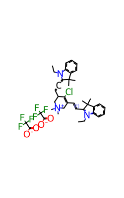 CCN1C(=C=CC2C[N+](C)(C)CC(/C=C/C3=[N+](CC)c4ccccc4C3(C)C)=C2Cl)C(C)(C)c2ccccc21.O=C([O-])C(F)(F)F.O=C([O-])C(F)(F)F